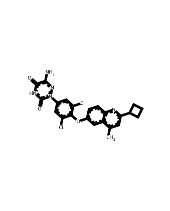 Cc1cc(C2CCC2)nc2ccc(Oc3c(Cl)cc(-n4nc(N)c(=O)[nH]c4=O)cc3Cl)cc12